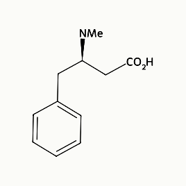 CN[C@@H](CC(=O)O)Cc1ccccc1